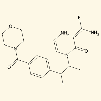 CC(c1ccc(C(=O)N2CCOCC2)cc1)C(C)N(/C=C\N)C(=O)/C=C(\N)F